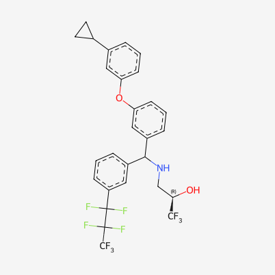 O[C@H](CNC(c1cccc(Oc2cccc(C3CC3)c2)c1)c1cccc(C(F)(F)C(F)(F)C(F)(F)F)c1)C(F)(F)F